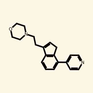 C1=C(CCN2CCOCC2)c2cccc(-c3ccncc3)c2C1